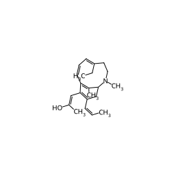 C/C=C\C1=C(/C=C(\C)O)C2=C(C)C(C1)N(C)CC/C(CC)=C/C=C\2